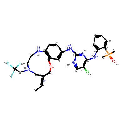 C/C=C1/COc2cc(Nc3ncc(Cl)c(Nc4ccccc4P(C)(C)=O)n3)ccc2NCCN(CC(F)(F)F)C1